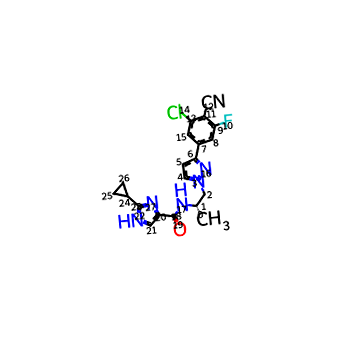 C[C@@H](Cn1ccc(-c2cc(F)c(C#N)c(Cl)c2)n1)NC(=O)c1c[nH]c(C2CC2)n1